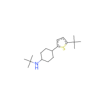 CC(C)(C)NC1CCC(c2ccc(C(C)(C)C)s2)CC1